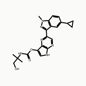 Cn1nc(-c2cnc3[nH]cc(OC(=O)NC(C)(C)CO)c3n2)c2cc(C3CC3)ccc21